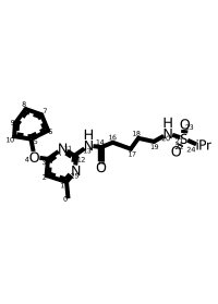 Cc1cc(Oc2ccccc2)nc(NC(=O)CCCCNS(=O)(=O)C(C)C)n1